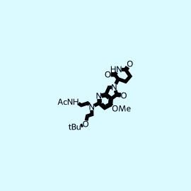 COc1cc(N(CCNC(C)=O)CCOC(C)(C)C)nc2c1C(=O)N(C1CCC(=O)NC1=O)C2